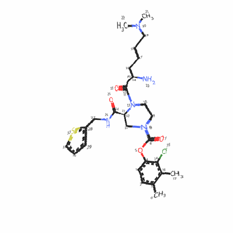 Cc1ccc(OC(=O)N2CCN(C(=O)[C@H](N)CCCCN(C)C)[C@H](C(=O)NCc3cccs3)C2)c(Cl)c1C